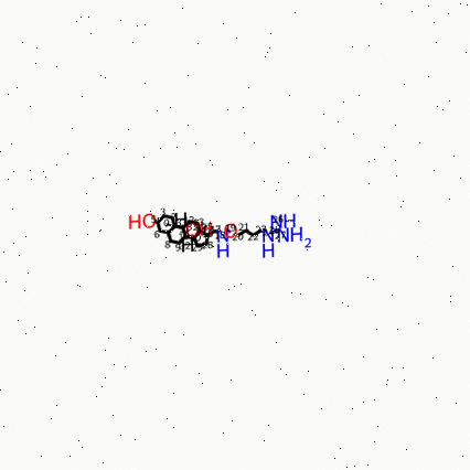 C[C@]12CCC(O)CC1CC[C@@H]1[C@H]2CC[C@]2(C)C(CNOCCCCNC(=N)N)CC[C@@]12O